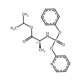 CC(C)OC(=O)[C@H](C)NP(=O)(Oc1ccccc1)Oc1ccccn1